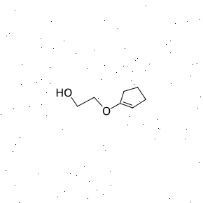 OCCOC1=CCCC1